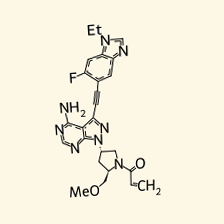 C=CC(=O)N1C[C@@H](n2nc(C#Cc3cc4ncn(CC)c4cc3F)c3c(N)ncnc32)C[C@@H]1COC